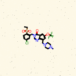 CCS(=O)(=O)c1ccc(Cl)cc1Cn1cnc2c(CN3CCN(C)CC3)cc(OC(F)(F)F)cc2c1=O